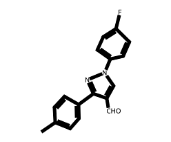 Cc1ccc(-c2nn(-c3ccc(F)cc3)cc2C=O)cc1